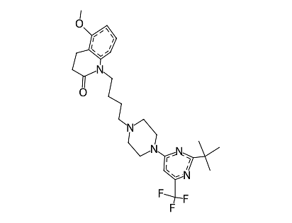 COc1cccc2c1CCC(=O)N2CCCCN1CCN(c2cc(C(F)(F)F)nc(C(C)(C)C)n2)CC1